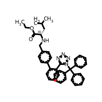 CCOC(=O)[C@H](CC(C)C)NCc1ccc(-c2ccccc2-c2nnnn2C(c2ccccc2)(c2ccccc2)c2ccccc2)cc1